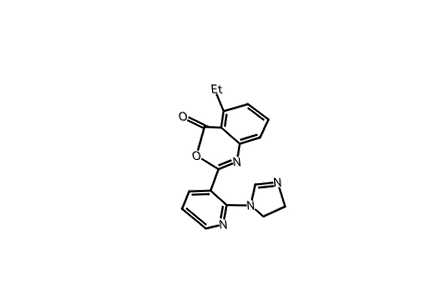 CCc1cccc2nc(-c3cccnc3N3C=NCC3)oc(=O)c12